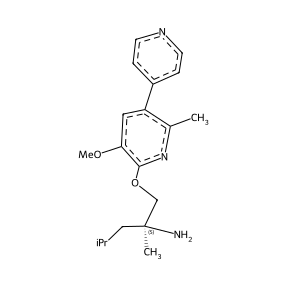 COc1cc(-c2ccncc2)c(C)nc1OC[C@@](C)(N)CC(C)C